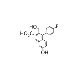 O=C(O)c1cc2cc(O)ccc2c(-c2ccc(F)cc2)c1CO